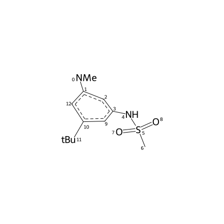 CNc1cc(NS(C)(=O)=O)cc(C(C)(C)C)c1